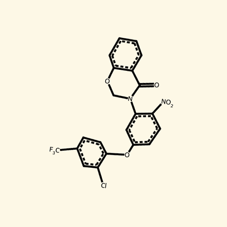 O=C1c2ccccc2OCN1c1cc(Oc2ccc(C(F)(F)F)cc2Cl)ccc1[N+](=O)[O-]